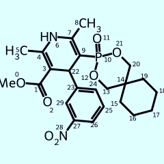 COC(=O)C1=C(C)NC(C)=C(P2(=O)OCC3(CCCCC3)CO2)C1c1cccc([N+](=O)[O-])c1